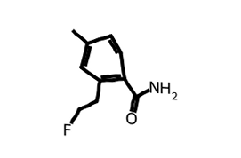 Cc1ccc(C(N)=O)c(CCF)c1